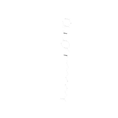 CC(C)CCCCCCCCCCOC(=O)OC1CCC(OC(=O)OC2CCCCC2)CC1